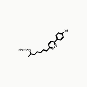 CCCCCOC(C)CCC/C=C/c1ccc(-c2ccc(O)cc2)nn1